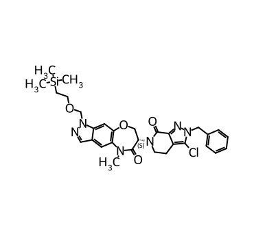 CN1C(=O)[C@@H](N2CCc3c(nn(Cc4ccccc4)c3Cl)C2=O)COc2cc3c(cnn3COCC[Si](C)(C)C)cc21